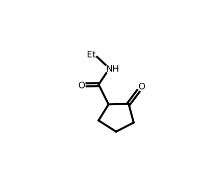 CCNC(=O)C1CCCC1=O